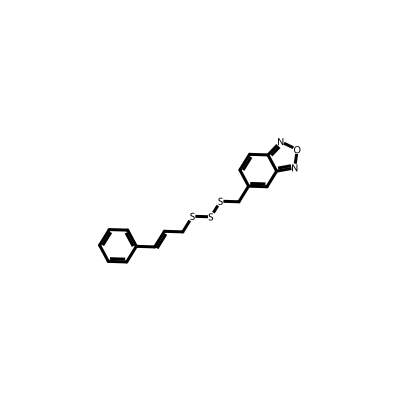 C(=C\c1ccccc1)/CSSSCc1ccc2nonc2c1